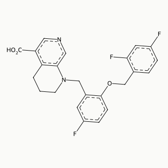 O=C(O)c1cncc2c1CCCN2Cc1cc(F)ccc1OCc1ccc(F)cc1F